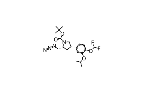 CC(C)Oc1cc([C@@H]2C[C@H](CN=[N+]=[N-])N(C(=O)OC(C)(C)C)C2)ccc1OC(F)F